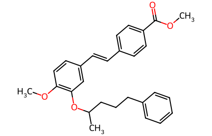 COC(=O)c1ccc(C=Cc2ccc(OC)c(OC(C)CCCc3ccccc3)c2)cc1